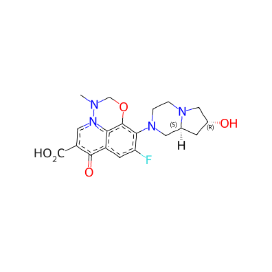 CN1COc2c(N3CCN4C[C@H](O)C[C@H]4C3)c(F)cc3c(=O)c(C(=O)O)cn1c23